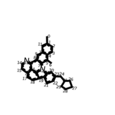 Cc1ccc2c(C)c3c(cc2c1)c1nccc2ccc4c5ccc(CC6CCCC6)cc5n3c4c21